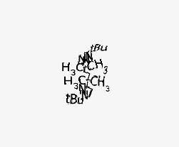 CC(C)(C)c1cnn(C(C)(C)CCC(C)(C)c2ccn(C(C)(C)C)n2)n1